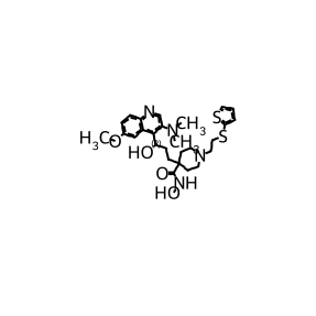 COc1ccc2ncc(N(C)C)c([C@H](O)CCC3(C(=O)NO)CCN(CCSc4cccs4)CC3)c2c1